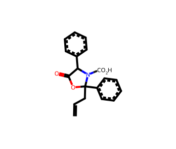 C=CCC1(c2ccccc2)OC(=O)C(c2ccccc2)N1C(=O)O